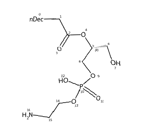 CCCCCCCCCCCC(=O)O[C@H](CO)COP(=O)(O)OCCN